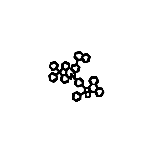 c1ccc(-c2oc3c4ccccc4c4ccccc4c3c2-c2ccc(N(c3ccc(-c4cccc5ccccc45)cc3)c3cccc4c3-c3ccccc3C4(c3ccccc3)c3ccccc3)cc2)cc1